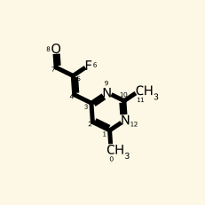 Cc1cc(C=C(F)C=O)nc(C)n1